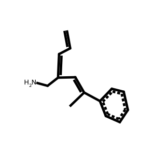 C=C/C=C(\C=C(/C)c1ccccc1)CN